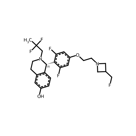 CC(F)(F)CN1CCc2cc(O)ccc2[C@H]1c1c(F)cc(OCCN2CC(CF)C2)cc1F